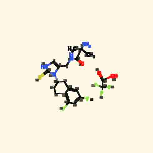 CC(C)(N)C(=O)NCc1c[nH]c(=S)n1[C@H]1CCc2c(F)cc(F)cc2C1.O=C(O)C(F)(F)F